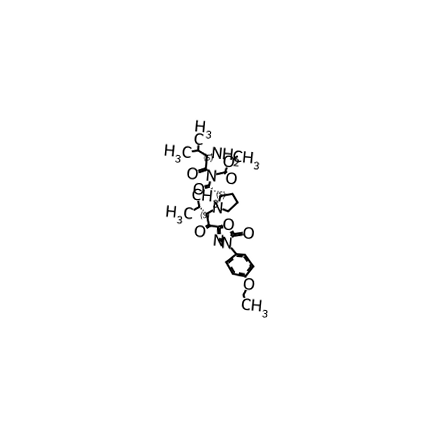 CCOc1ccc(-n2nc(C(=O)[C@H](C(C)C)N3CCC[C@H]3C(=O)N(C(=O)OC)C(=O)[C@@H](N)C(C)C)oc2=O)cc1